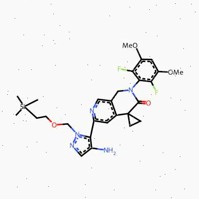 COc1cc(OC)c(F)c(N2Cc3cnc(-c4c(N)cnn4COCC[Si](C)(C)C)cc3C3(CC3)C2=O)c1F